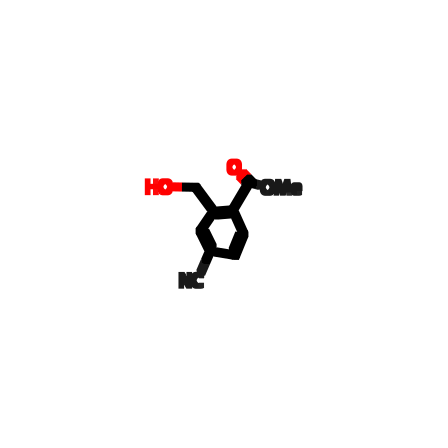 COC(=O)c1ccc(C#N)cc1CO